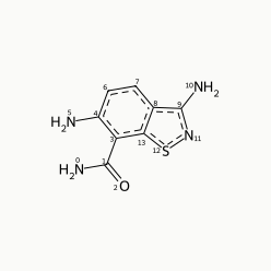 NC(=O)c1c(N)ccc2c(N)nsc12